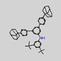 CC(C)(C)c1cc(Nc2cc(-c3ccc(C45CC6CC(CC(C6)C4)C5)cc3)cc(-c3ccc(C45CC6CC(CC(C6)C4)C5)cc3)c2)cc(C(C)(C)C)c1